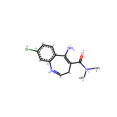 CCCN(CCC)C(=O)C1=C(N)c2ccc(Br)cc2N=CC1